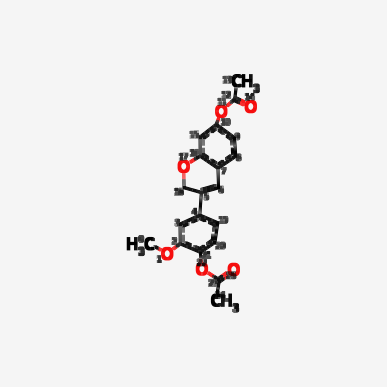 COc1cc(C2=Cc3ccc(OC(C)=O)cc3OC2)ccc1OC(C)=O